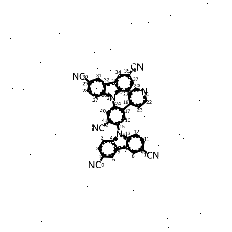 N#Cc1ccc2c(c1)c1cc(C#N)ccc1n2-c1cc(-c2ccncc2)c(-n2c3ccc(C#N)cc3c3cc(C#N)ccc32)cc1C#N